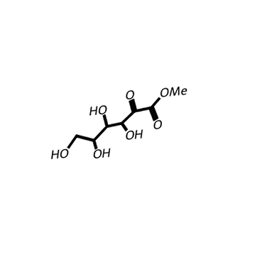 COC(=O)C(=O)C(O)C(O)C(O)CO